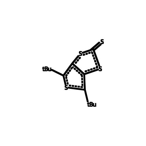 CC(C)(C)c1sc(C(C)(C)C)c2sc(=S)sc12